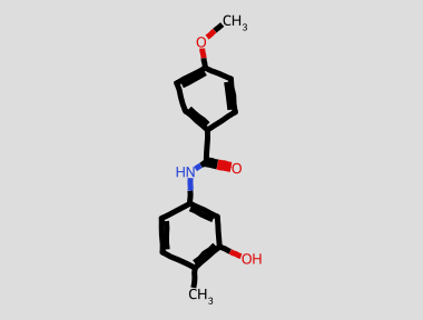 COc1ccc(C(=O)Nc2ccc(C)c(O)c2)cc1